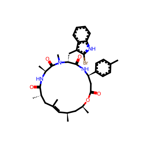 C/C1=C\[C@H](C)C[C@H](C)OC(=O)C[C@H](c2ccc(C)cc2)NC(=O)[C@@H](Cc2c(Br)[nH]c3ccccc23)N(C)C(=O)[C@H](C)NC(=O)[C@@H](C)C1